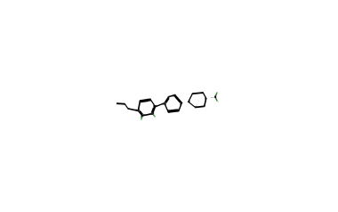 CCCc1ccc(-c2ccc([C@H]3CC[C@H](C(F)F)CC3)cc2)c(F)c1F